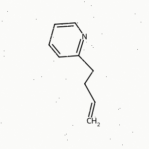 C=CCCc1ccc[c]n1